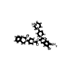 Nc1ccc(C[C@@H](OC(=O)N2CCC(N3CCc4ccccc4NC3=O)CC2)C(=O)N2CCC(N3CCCNCC3)CC2)cc1Br